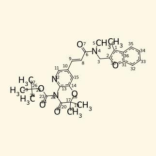 Cc1c(CN(C)C(=O)C=Cc2cnc3c(c2)OC(C)(C)C(=O)N3C(=O)OC(C)(C)C)oc2ccccc12